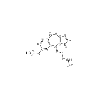 CC(C)NCC/C=C1/c2cc(CC(=O)O)ccc2OCc2ccsc21